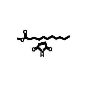 CCCCCCCCCCC(=O)OC.O=C1C=CC(=O)N1